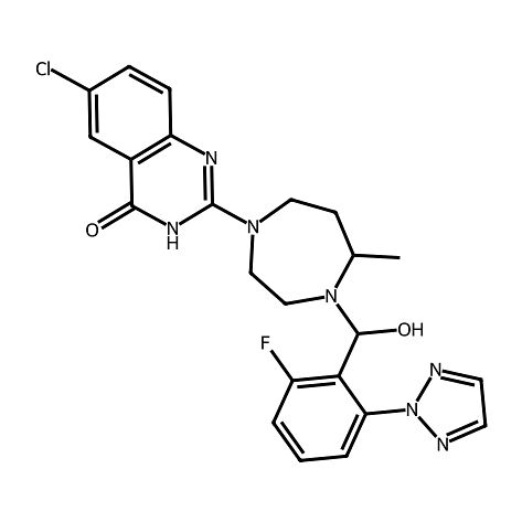 CC1CCN(c2nc3ccc(Cl)cc3c(=O)[nH]2)CCN1C(O)c1c(F)cccc1-n1nccn1